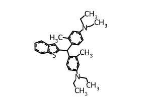 CCN(CC)c1ccc(C(c2cc3ccccc3s2)c2ccc(N(CC)CC)cc2C)c(C)c1